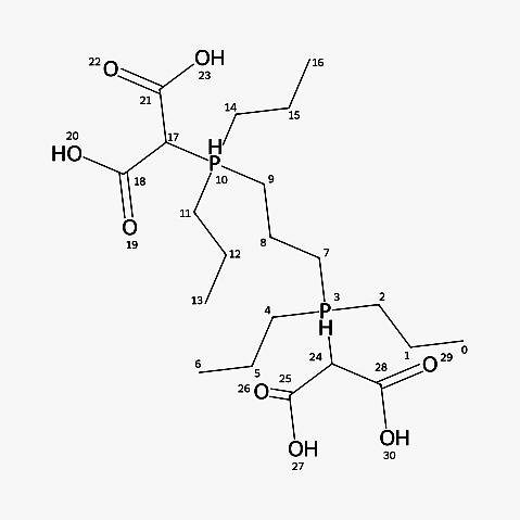 CCC[PH](CCC)(CCC[PH](CCC)(CCC)C(C(=O)O)C(=O)O)C(C(=O)O)C(=O)O